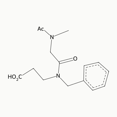 CC(=O)N(C)CC(=O)N(CCC(=O)O)Cc1ccccc1